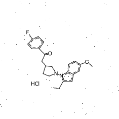 CCc1cc2cc(OC)ccc2n1N1CCC(CC(=O)c2ccc(F)cc2)C1.Cl